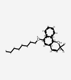 CCCCCCCCOc1cc2c(c3ccccc13)OC(C)(C)C=C2